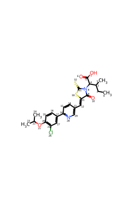 CCC(C)C(C(=O)O)N1C(=O)/C(=C/c2ccc(-c3ccc(OC(C)C)c(Cl)c3)nc2)SC1=S